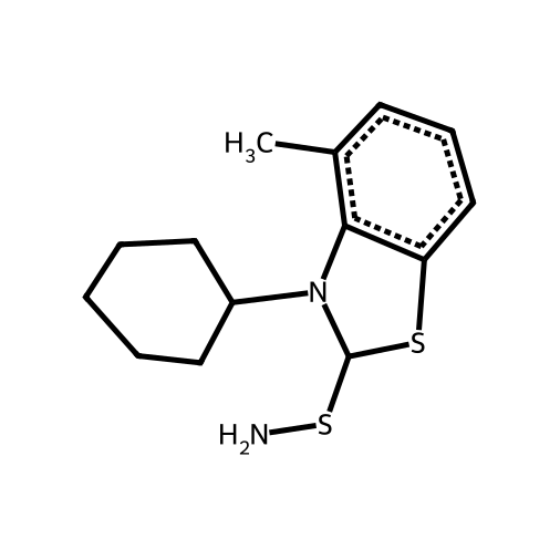 Cc1cccc2c1N(C1CCCCC1)C(SN)S2